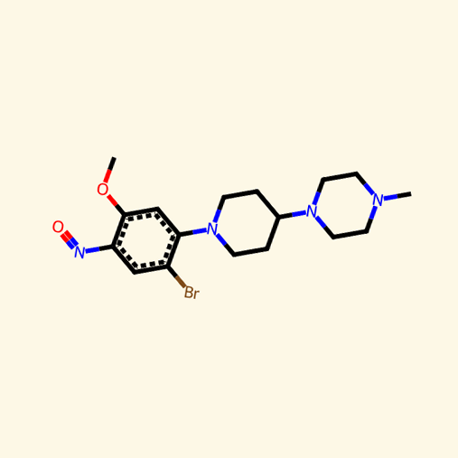 COc1cc(N2CCC(N3CCN(C)CC3)CC2)c(Br)cc1N=O